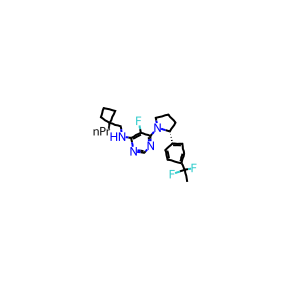 CCCC1(CNc2ncnc(N3CCC[C@@H]3c3ccc(C(C)(F)F)cc3)c2F)CCC1